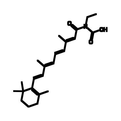 CCN(C(=O)O)C(=O)/C=C(C)/C=C/C=C(C)/C=C/C1=C(C)CCCC1(C)C